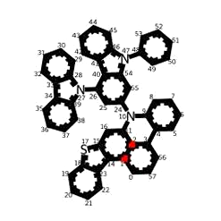 c1ccc(-c2ccccc2N(c2ccc3c(c2)sc2ccccc23)c2cc(-n3c4ccccc4c4ccccc43)c3c4ccccc4n(-c4ccccc4)c3c2)cc1